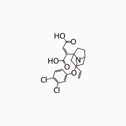 C=CCN1C2CCC1(/C(=C\C(=O)O)C(=O)O)CC(Oc1ccc(Cl)c(Cl)c1)C2